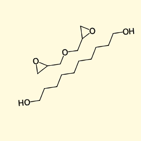 C(OCC1CO1)C1CO1.OCCCCCCCCCCO